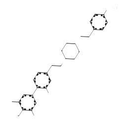 CCCCc1ccc(CC[C@H]2CC[C@H](CCc3ccc(-c4cc(F)c(Cl)c(F)c4)c(F)c3)CC2)cc1